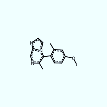 Cc1cc(OI)ccc1-c1c(C)ncc2nccn12